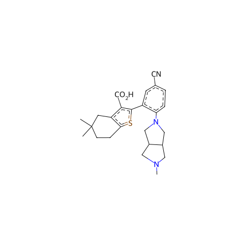 CN1CC2CN(c3ccc(C#N)cc3-c3sc4c(c3C(=O)O)CC(C)(C)CC4)CC2C1